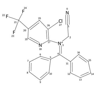 N#CC[N+](=C(c1ccccc1)c1ccccc1)c1ncc(C(F)(F)F)cc1Cl